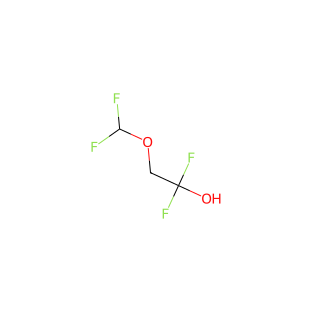 OC(F)(F)COC(F)F